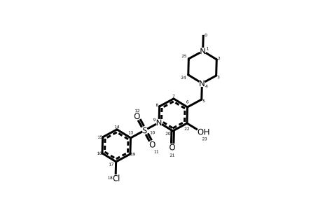 CN1CCN(Cc2ccn(S(=O)(=O)c3cccc(Cl)c3)c(=O)c2O)CC1